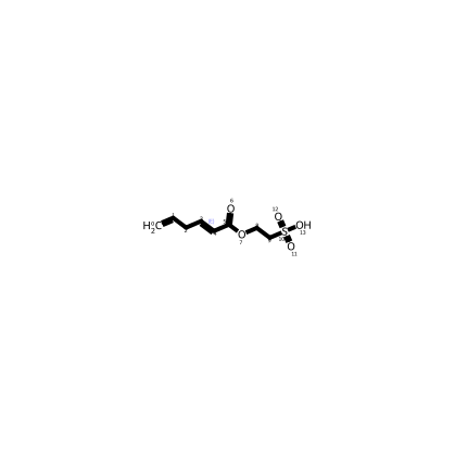 C=CC/C=C/C(=O)OCCS(=O)(=O)O